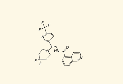 O=C(NCC(c1ccc(C(F)(F)F)nc1)N1CCC(F)(F)CC1)c1cccc2cnccc12